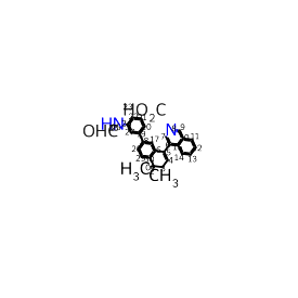 CC1(C)CC=C(c2cncc3ccccc23)c2cc(-c3ccc(C(=O)O)c(NC=O)c3)ccc21